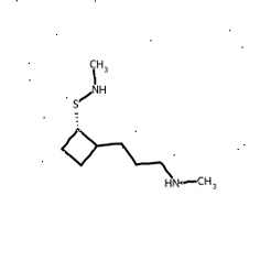 CNCCCC1CC[C@@H]1SNC